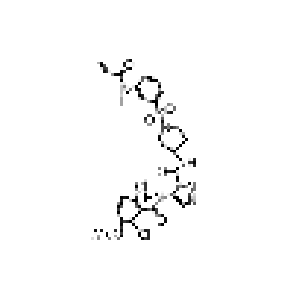 C=CC(=O)Nc1cccc(S(=O)(=O)N2CCC(NC(=O)c3n[nH]cc3NC(=O)c3c(Cl)ccc(OC)c3Cl)CC2)c1